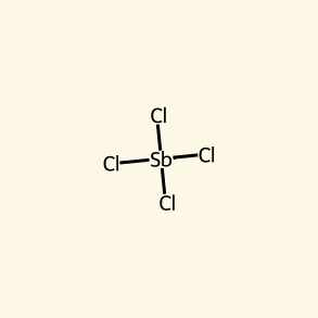 [Cl][Sb]([Cl])([Cl])[Cl]